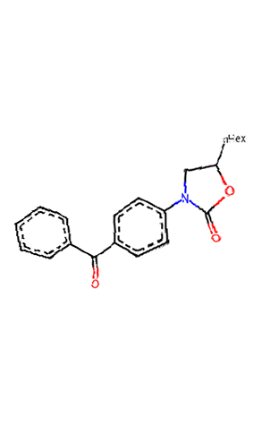 CCCCCCC1CN(c2ccc(C(=O)c3ccccc3)cc2)C(=O)O1